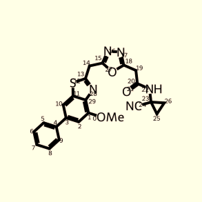 COc1cc(-c2ccccc2)cc2sc(Cc3nnc(CC(=O)NC4(C#N)CC4)o3)nc12